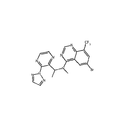 CC(c1nccnc1-n1nccn1)N(C)c1ncnc2c(C(F)(F)F)cc(Br)cc12